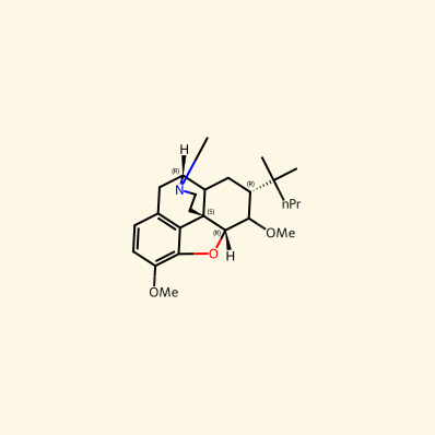 CCCC(C)(C)[C@H]1CC2[C@H]3Cc4ccc(OC)c5c4[C@@]2(CCN3C)[C@@H](O5)C1OC